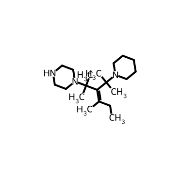 CCC(C)=C(C(C)(C)N1CCCCC1)C(C)(C)N1CCNCC1